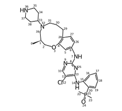 C[C@@H]1COc2cc(Nc3ncc(Cl)c(Nc4ccccc4P(C)(C)=O)n3)ccc2CCCN(C2CCNCC2)C1